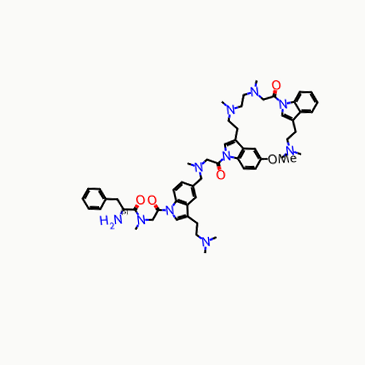 COc1ccc2c(c1)c(CCN(C)CCN(C)CC(=O)n1cc(CCN(C)C)c3ccccc31)cn2C(=O)CN(C)Cc1ccc2c(c1)c(CCN(C)C)cn2C(=O)CN(C)C(=O)[C@@H](N)Cc1ccccc1